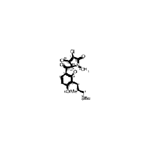 CC[C@H](C)CCCc1c(OC)ccc2c1O[C@]1(C2=O)C(Cl)=C(Cl)C(=O)N1C